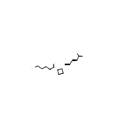 CCCCCCCCC(/C=C/C=C/[C@@H]1CC[C@H]1C(CCCCO)OC(C)=O)OC(C)=O